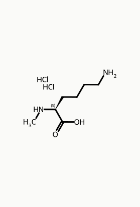 CN[C@@H](CCCCN)C(=O)O.Cl.Cl